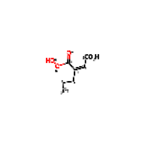 CC(C)CCC(=CC(=O)O)C(=O)OO